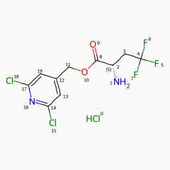 Cl.N[C@@H](CC(F)(F)F)C(=O)OCc1cc(Cl)nc(Cl)c1